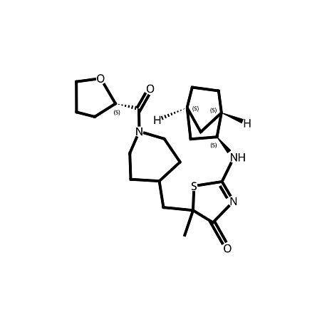 CC1(CC2CCN(C(=O)[C@@H]3CCCO3)CC2)SC(N[C@H]2C[C@H]3CC[C@H]2C3)=NC1=O